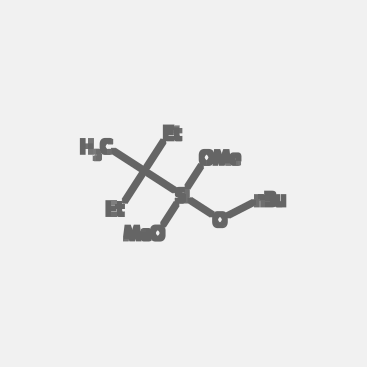 CCCCO[Si](OC)(OC)C(C)(CC)CC